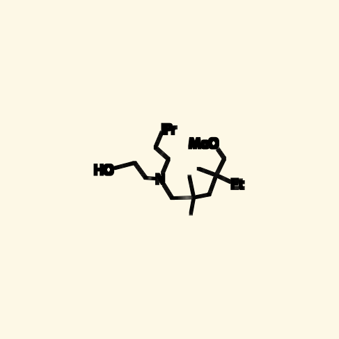 CCC(C)(COC)CC(C)(C)CN(CCO)CCC(C)C